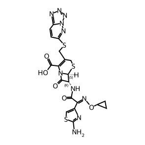 Nc1nc(C(=NOC2CC2)C(=O)N[C@@H]2C(=O)N3C(C(=O)O)=C(CSc4ccc5nnnn5n4)CS[C@@H]23)cs1